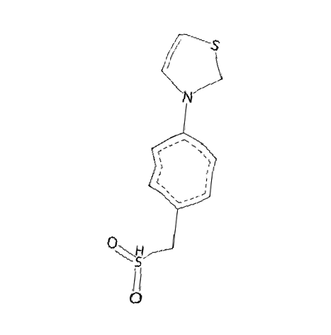 O=[SH](=O)Cc1ccc(N2C=CSC2)cc1